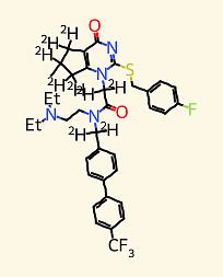 [2H]C([2H])(c1ccc(-c2ccc(C(F)(F)F)cc2)cc1)N(CCN(CC)CC)C(=O)C([2H])([2H])n1c(SCc2ccc(F)cc2)nc(=O)c2c1C([2H])([2H])C([2H])(C)C2([2H])[2H]